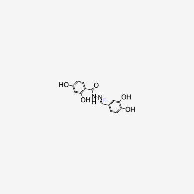 O=C(N/N=C/c1ccc(O)c(O)c1)c1ccc(O)cc1O